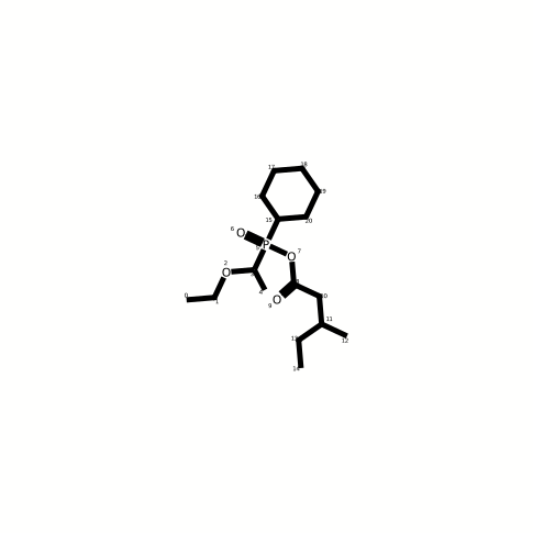 CCOC(C)P(=O)(OC(=O)CC(C)CC)C1CCCCC1